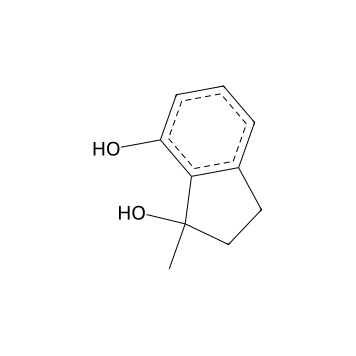 CC1(O)CCc2cccc(O)c21